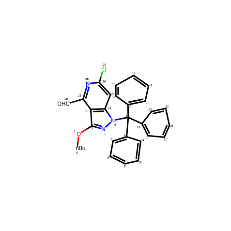 CCCCOc1nn(C(c2ccccc2)(c2ccccc2)c2ccccc2)c2cc(Cl)nc(C=O)c12